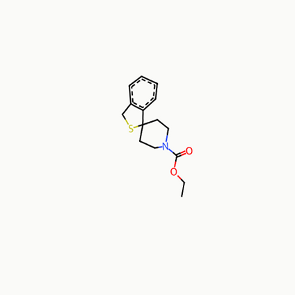 CCOC(=O)N1CCC2(CC1)SCc1ccccc12